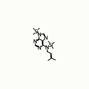 CC(C)=CCN(c1ncnc2c1ncn2[Si](C)(C)C)[Si](C)(C)C